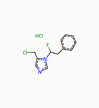 Cl.FC(Cc1ccccc1)n1cncc1CCl